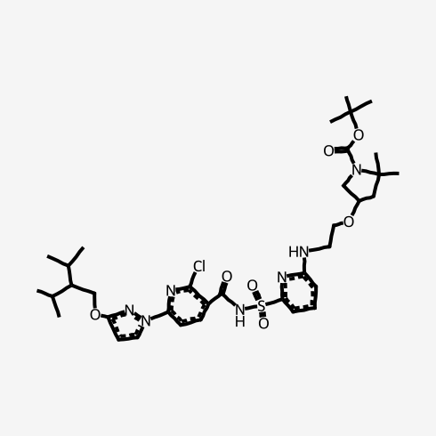 CC(C)C(COc1ccn(-c2ccc(C(=O)NS(=O)(=O)c3cccc(NCCOC4CN(C(=O)OC(C)(C)C)C(C)(C)C4)n3)c(Cl)n2)n1)C(C)C